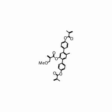 C=C(C)C(=O)Oc1ccc(-c2cc(OC(=O)C(=C)COC)c(-c3ccc(OC(=O)C(=C)C)cc3)cc2C)cc1